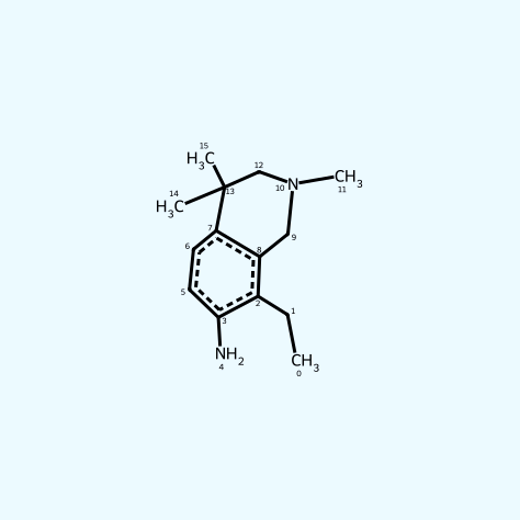 CCc1c(N)ccc2c1CN(C)CC2(C)C